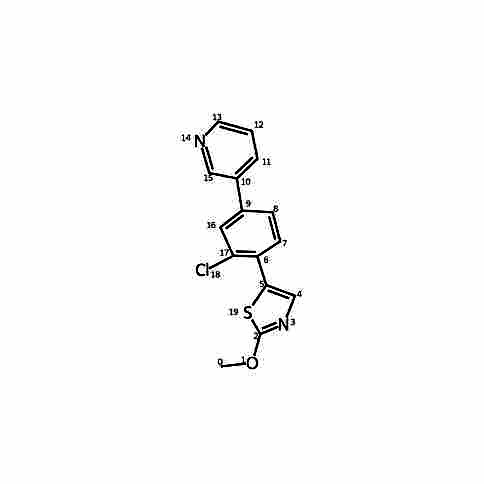 COc1ncc(-c2ccc(-c3cccnc3)cc2Cl)s1